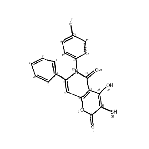 O=c1oc2cc(-c3ccccc3)n(-c3ccc(F)cc3)c(=O)c2c(O)c1S